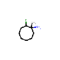 CC1(N)CCCCCCC1F